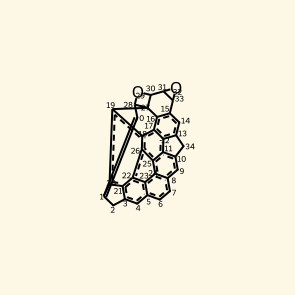 C1=C2Cc3cc4ccc5cc6c7c8c(cc9c%10c8c8c(c2c3c2c4c5c7c82)C%102C1OC2C1OC91)C6